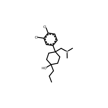 CCCC1(O)CCC(CN(C)C)(c2ccc(Cl)c(Cl)c2)CC1